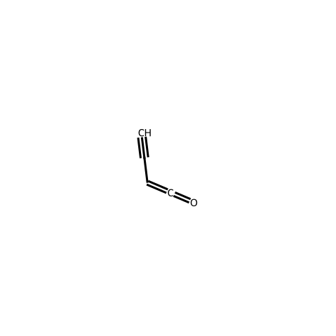 C#CC=C=O